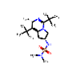 C[C@@H]1N=C(C(C)(C)C)N2C[C@@H](NS(=O)(=O)N(C)C)CC2=C1C(C)(C)C